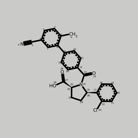 Cc1ccc(C#N)cc1-c1ccc(C(=O)N2[C@@H](c3ccccc3Cl)CC[C@H]2C(=O)O)cc1